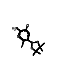 CC1(C)OB(c2cc(Cl)c(N)nc2F)OC1(C)C